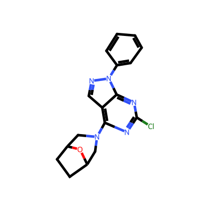 Clc1nc(N2CC3CCC(C2)O3)c2cnn(-c3ccccc3)c2n1